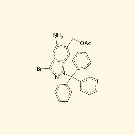 CC(=O)OCc1cc2c(cc1N)c(Br)nn2C(c1ccccc1)(c1ccccc1)c1ccccc1